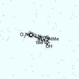 CNC(=O)C1CC(O)CN1C(=O)[C@@H](n1cc(COc2ccc([N+](=O)[O-])cc2)nn1)C(C)(C)C